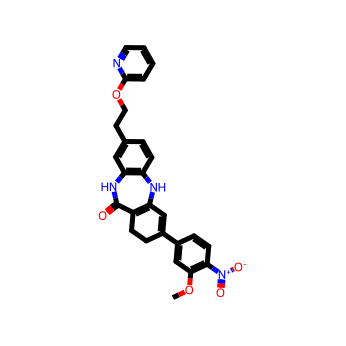 COc1cc(C2=CC3=C(CC2)C(=O)Nc2cc(CCOc4ccccn4)ccc2N3)ccc1[N+](=O)[O-]